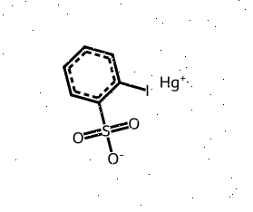 O=S(=O)([O-])c1ccccc1I.[Hg+]